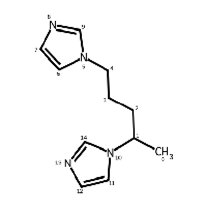 CC(CCCn1ccnc1)n1ccnc1